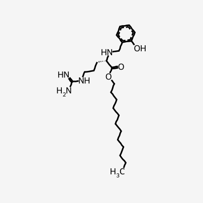 CCCCCCCCCCCCOC(=O)[C@H](CCCNC(=N)N)NCc1ccccc1O